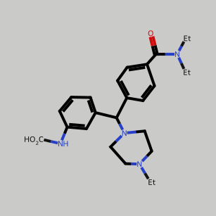 CCN1CCN(C(c2ccc(C(=O)N(CC)CC)cc2)c2cccc(NC(=O)O)c2)CC1